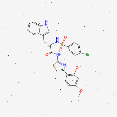 COc1ccc(-c2csc(NC(=O)[C@H](Cc3c[nH]c4ccccc34)NS(=O)(=O)c3ccc(Br)cc3)n2)c(OC)c1